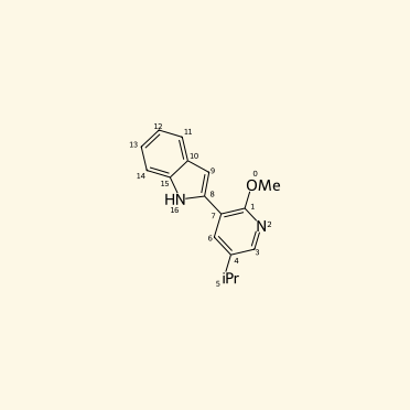 COc1ncc(C(C)C)cc1-c1cc2ccccc2[nH]1